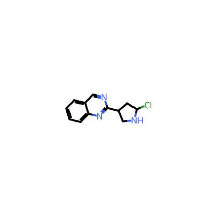 ClC1CC(c2ncc3ccccc3n2)CN1